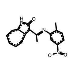 C/C(=N\c1cc([N+](=O)[O-])ccc1C)c1c2cccccc-2[nH]c1=O